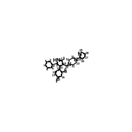 Cc1[nH]c(-c2ccccc2)c(-c2ccc(F)cc2F)c1CN1CCN(c2ccccn2)CC1